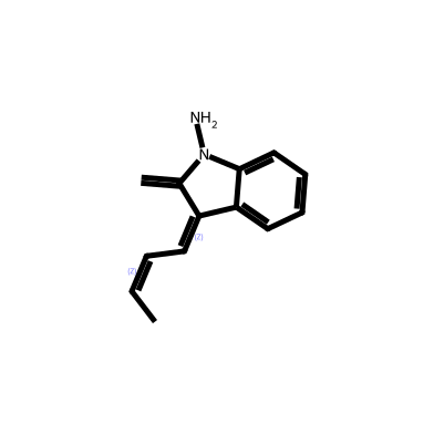 C=c1/c(=C\C=C/C)c2ccccc2n1N